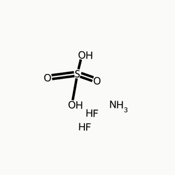 F.F.N.O=S(=O)(O)O